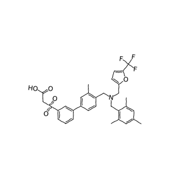 Cc1cc(C)c(CN(Cc2ccc(C(F)(F)F)o2)Cc2ccc(-c3cccc(S(=O)(=O)CC(=O)O)c3)cc2C)c(C)c1